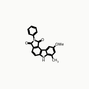 COc1cc(C)c2[nH]c3ccc4c(c3c2c1)C(=O)N(c1ccccc1)C4=O